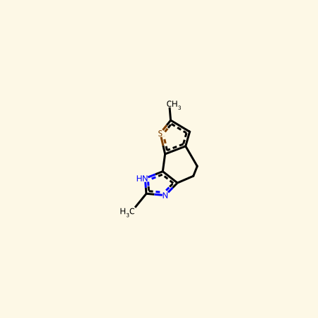 Cc1nc2c([nH]1)-c1sc(C)cc1CC2